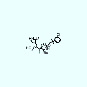 CC(C)(COC(=O)NC(C(=O)NC(CC1CCNC1=O)C(=O)O)C(C)(C)C)c1cccc(Cl)c1